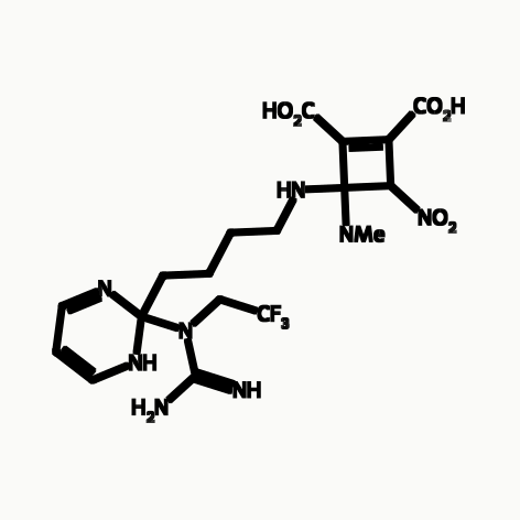 CNC1(NCCCCC2(N(CC(F)(F)F)C(=N)N)N=CC=CN2)C(C(=O)O)=C(C(=O)O)C1[N+](=O)[O-]